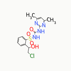 Cc1cc(C)nc(NC(=O)NS(=O)(=O)c2ccccc2C(O)CCl)n1